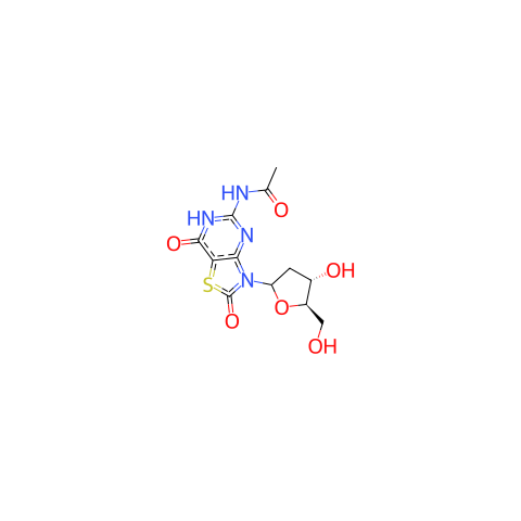 CC(=O)Nc1nc2c(sc(=O)n2C2C[C@H](O)[C@@H](CO)O2)c(=O)[nH]1